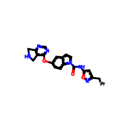 CC(C)Cc1cc(NC(=O)n2ccc3cc(Oc4ncnc5c4CNC5)ccc32)on1